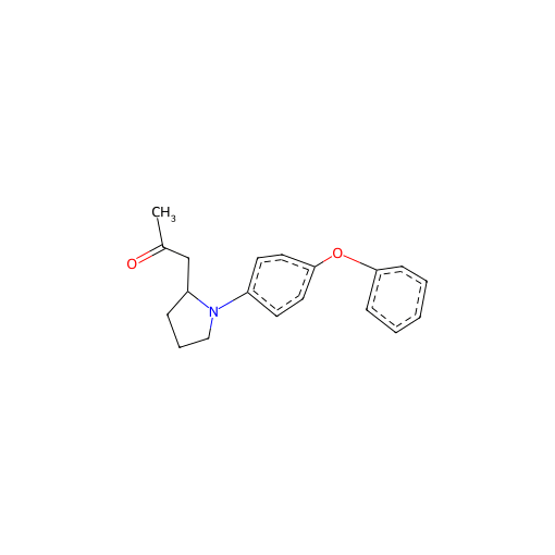 CC(=O)CC1CCCN1c1ccc(Oc2ccccc2)cc1